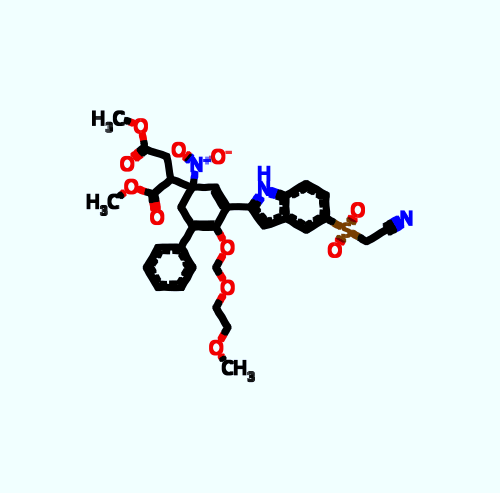 COCCOCOC1=C(c2ccccc2)CC(C(CC(=O)OC)C(=O)OC)([N+](=O)[O-])C=C1c1cc2cc(S(=O)(=O)CC#N)ccc2[nH]1